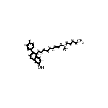 Cc1ccc(-c2ccc3cc(O)ccc3c2CCCCCCCCC[S+]([O-])CCCCC(F)(F)F)cc1